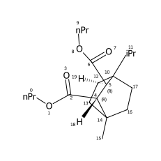 CCCOC(=O)[C@@H]1[C@@H](C(=O)OCCC)C2(C(C)C)CCC1(C)CC2